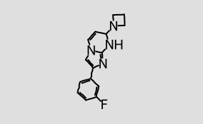 Fc1cccc(-c2cn3c(n2)NC(N2CCC2)C=C3)c1